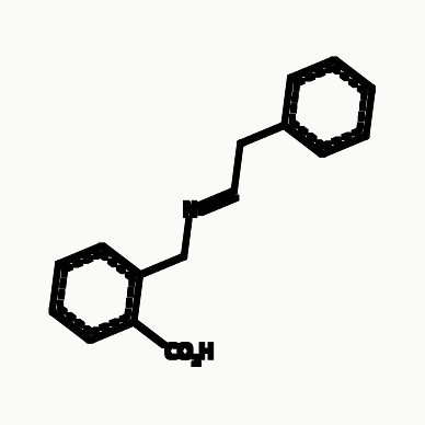 O=C(O)c1ccccc1CN=CCc1ccccc1